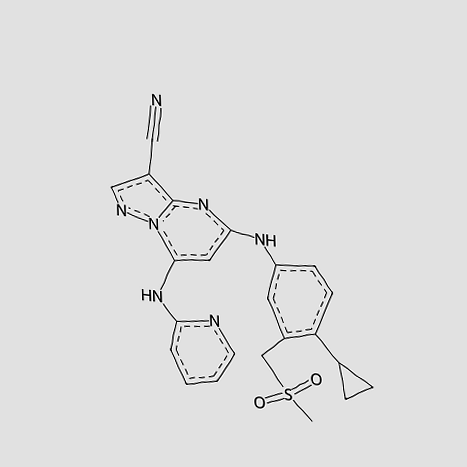 CS(=O)(=O)Cc1cc(Nc2cc(Nc3ccccn3)n3ncc(C#N)c3n2)ccc1C1CC1